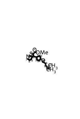 COC(=O)c1sc2ncccc2c1-c1ccc(OCCCN(C)C)cc1